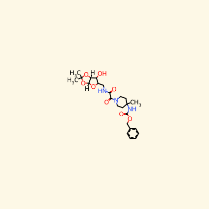 CC1(NC(=O)OCc2ccccc2)CCN(C(=O)C(=O)NCC2O[C@@H]3OC(C)(C)O[C@@H]3C2O)CC1